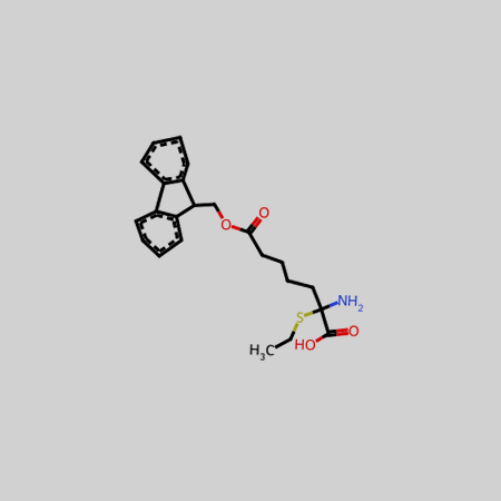 CCSC(N)(CCCCC(=O)OCC1c2ccccc2-c2ccccc21)C(=O)O